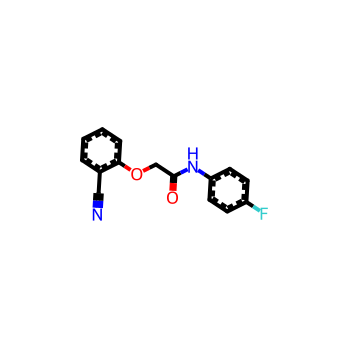 N#Cc1ccccc1OCC(=O)Nc1ccc(F)cc1